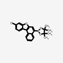 CC1(C)OB(c2cc3oc4cc(Cl)ccc4c3c3ccccc23)OC1(C)C